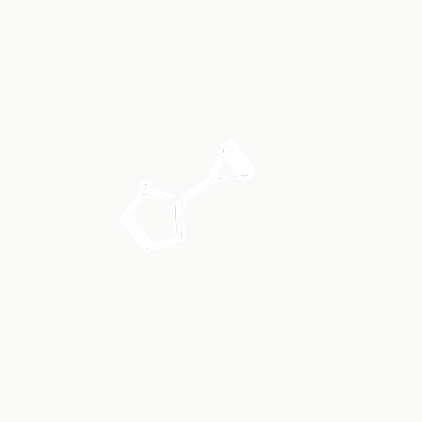 C1#CC1c1cccs1